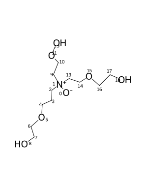 [O-][N+](CCCOCCO)(CCOO)CCOCCO